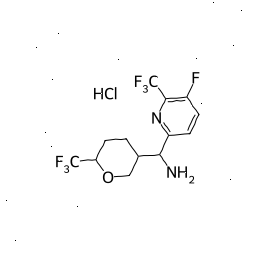 Cl.NC(c1ccc(F)c(C(F)(F)F)n1)C1CCC(C(F)(F)F)OC1